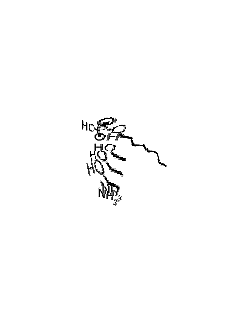 CCCCCCCCOP(=O)(O)O.CCO.CCO.CCO.N.N